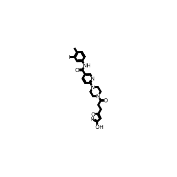 Cc1ccc(NC(=O)c2ccc(N3CCN(C(=O)CCc4cc(O)no4)CC3)nc2)cc1I